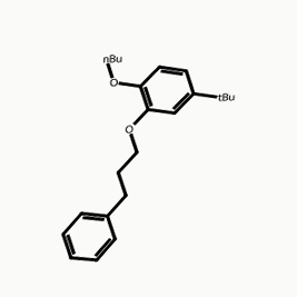 CCCCOc1ccc(C(C)(C)C)cc1OCCCc1ccccc1